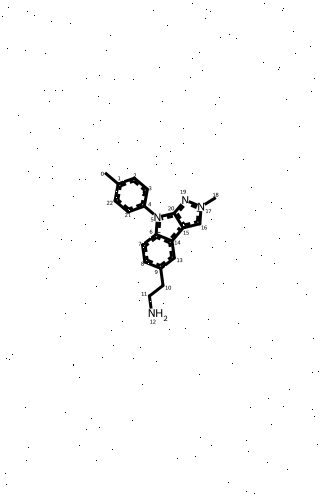 Cc1ccc(-n2c3ccc(CCN)cc3c3cn(C)nc32)cc1